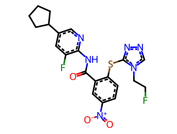 O=C(Nc1ncc(C2CCCC2)cc1F)c1cc([N+](=O)[O-])ccc1Sc1nncn1CCF